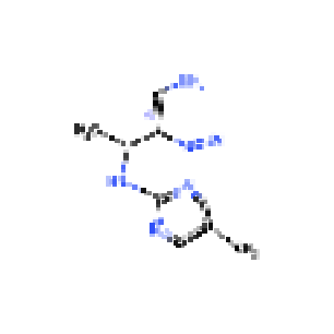 Cc1cnc(NC(C)/C(=C/N)N=N)nc1